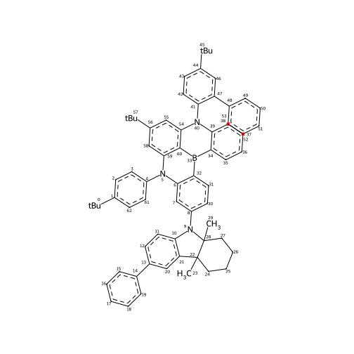 CC(C)(C)c1ccc(N2c3cc(N4c5ccc(-c6ccccc6)cc5C5(C)CCCCC45C)ccc3B3c4ccccc4N(c4ccc(C(C)(C)C)cc4-c4ccccc4)c4cc(C(C)(C)C)cc2c43)cc1